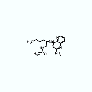 CCCC[C@H](CN[S+](C)[O-])Nc1nc(N)nc2cccnc12